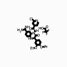 CCOc1cc(C(Nc2ccc(C(=N)N)cc2)C(=O)NNC(=O)c2ccnc(Cl)c2)ccc1OC(C)C.O=C(O)C(F)(F)F